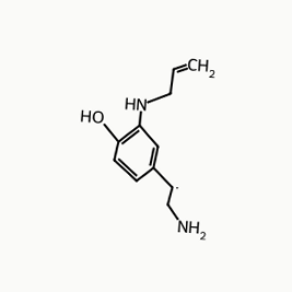 C=CCNc1cc([CH]CN)ccc1O